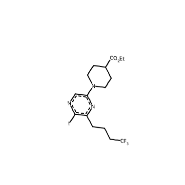 CCOC(=O)C1CCN(c2cnc(I)c(CCCC(F)(F)F)n2)CC1